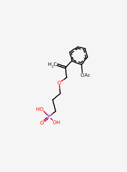 C=C(COCCCP(=O)(O)O)c1ccccc1OC(C)=O